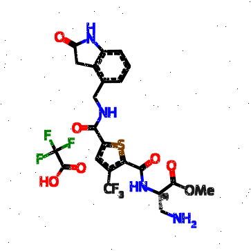 COC(=O)[C@H](CN)NC(=O)c1sc(C(=O)NCc2cccc3c2CC(=O)N3)cc1C(F)(F)F.O=C(O)C(F)(F)F